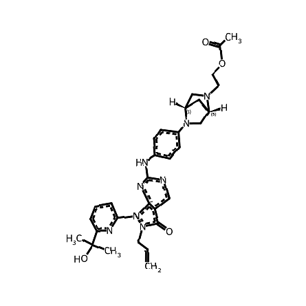 C=CCn1c(=O)c2cnc(Nc3ccc(N4C[C@@H]5C[C@H]4CN5CCOC(C)=O)cc3)nc2n1-c1cccc(C(C)(C)O)n1